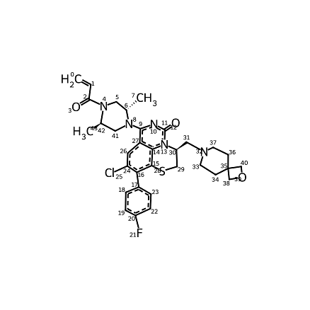 C=CC(=O)N1C[C@H](C)N(c2nc(=O)n3c4c(c(-c5ccc(F)cc5)c(Cl)cc24)SC[C@@H]3CN2CCC3(CC2)COC3)C[C@H]1C